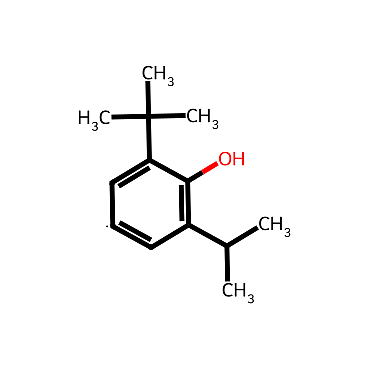 CC(C)c1c[c]cc(C(C)(C)C)c1O